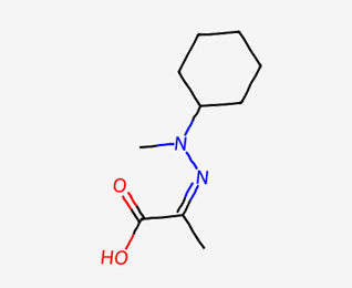 CC(=NN(C)C1CCCCC1)C(=O)O